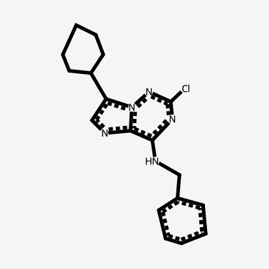 Clc1nc(NCc2ccccc2)c2ncc(C3CCCCC3)n2n1